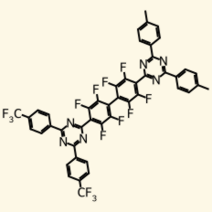 Cc1ccc(-c2nc(-c3ccc(C)cc3)nc(-c3c(F)c(F)c(-c4c(F)c(F)c(-c5nc(-c6ccc(C(F)(F)F)cc6)nc(-c6ccc(C(F)(F)F)cc6)n5)c(F)c4F)c(F)c3F)n2)cc1